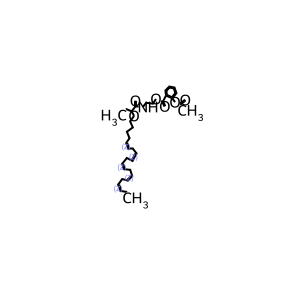 CC/C=C\C/C=C\C/C=C\C/C=C\C/C=C\CCCCOC(CC)C(=O)NCCOC(=O)c1ccccc1OC(C)=O